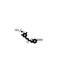 CSc1ccc2cc(C(=O)C=Cc3cc(C)c(OCC(=O)O)c(C)c3)oc2c1